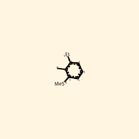 CCc1[c]ccc(SC)c1C